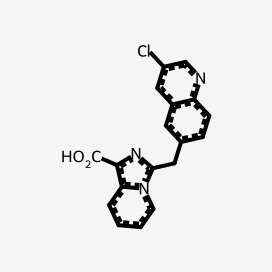 O=C(O)c1nc(Cc2ccc3ncc(Cl)cc3c2)n2ccccc12